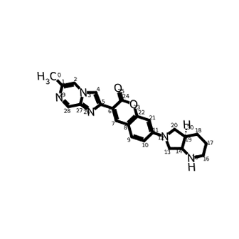 Cc1cn2cc(-c3cc4ccc(N5CC6NCCC[C@@H]6C5)cc4oc3=O)nc2cn1